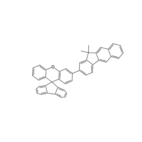 CC1(C)c2cc(-c3ccc4c(c3)Oc3ccccc3C43c4ccccc4-c4ccccc43)ccc2-c2cc3ccccc3cc21